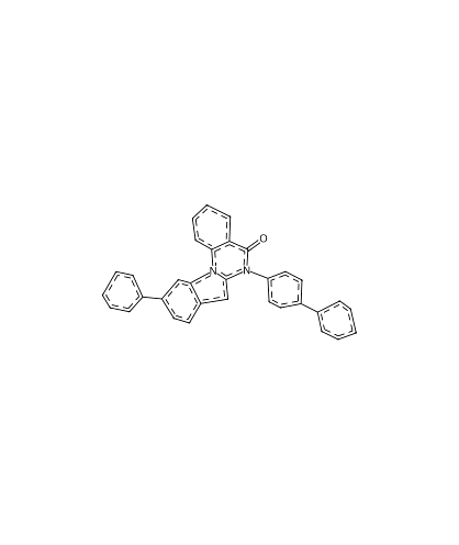 O=c1c2ccccc2n2c3cc(-c4ccccc4)ccc3cc2n1-c1ccc(-c2ccccc2)cc1